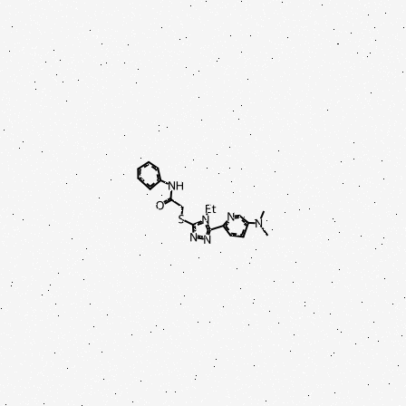 CCn1c(SCC(=O)Nc2ccccc2)nnc1-c1ccc(N(C)C)cn1